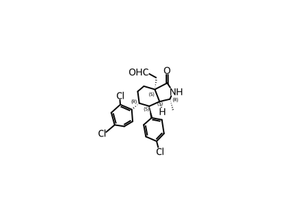 C[C@H]1NC(=O)[C@]2(CC=O)CC[C@@H](c3ccc(Cl)cc3Cl)[C@H](c3ccc(Cl)cc3)[C@H]12